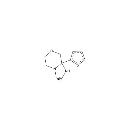 CCCNC1(c2cccs2)COCCN1C